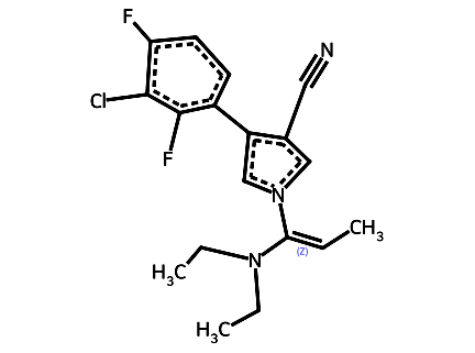 C/C=C(/N(CC)CC)n1cc(C#N)c(-c2ccc(F)c(Cl)c2F)c1